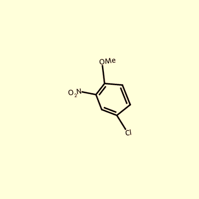 COc1ccc(Cl)cc1[N+](=O)[O-]